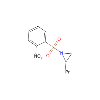 CC(C)C1CN1S(=O)(=O)c1ccccc1[N+](=O)[O-]